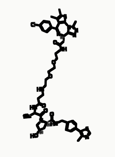 Cc1ncsc1-c1ccc(CNC(=O)[C@@H]2C[C@@H](O)CN2C(=O)C(NC(=O)CCNCCOCCOCCNC(=O)C[C@@H]2N=C(c3ccc(Cl)cc3)c3c(sc(C)c3C)-n3c(C)nnc32)C(C)(C)C)cc1